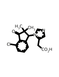 CC1(C)C(=O)c2c(Cl)cccc2C1n1cncc1CC(=O)O